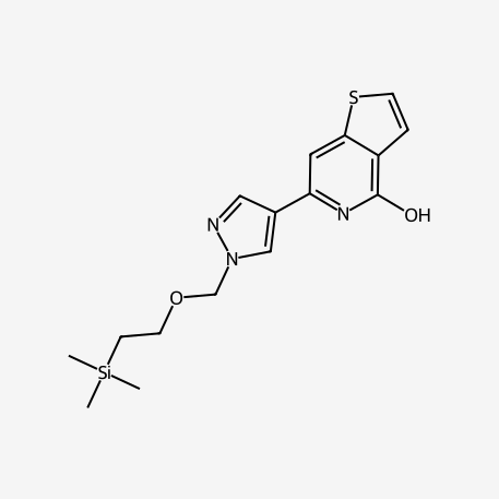 C[Si](C)(C)CCOCn1cc(-c2cc3sccc3c(O)n2)cn1